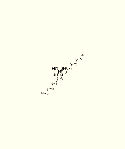 CCCCCCCCS(CCCCCCCC)=[P](O)(S)[Zn]